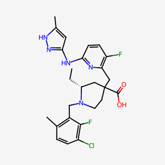 CC[C@@H]1CC(Cc2nc(Nc3cc(C)[nH]n3)ccc2F)(C(=O)O)CCN1Cc1c(C)ccc(Cl)c1F